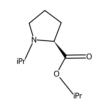 CC(C)OC(=O)[C@@H]1CCCN1C(C)C